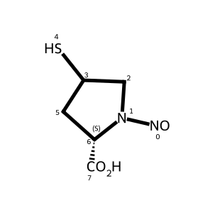 O=NN1CC(S)C[C@H]1C(=O)O